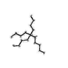 CCCCSS(CCCC)(CCCC)CCCC